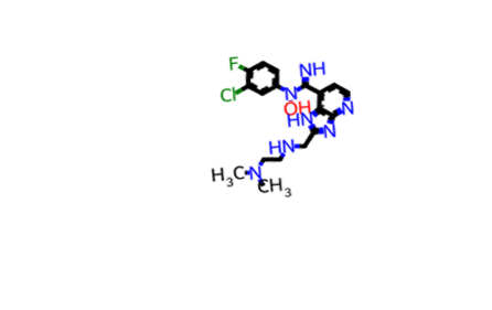 CN(C)CCNCc1nc2nccc(C(=N)N(O)c3ccc(F)c(Cl)c3)c2[nH]1